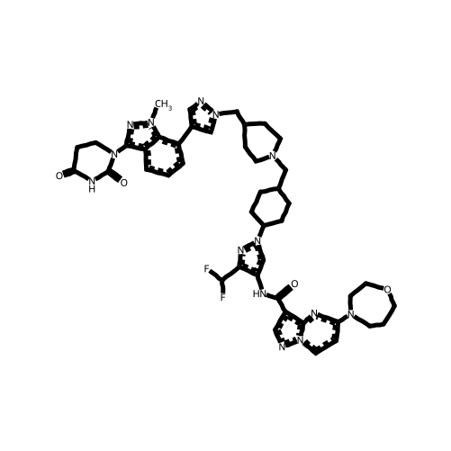 Cn1nc(N2CCC(=O)NC2=O)c2cccc(-c3cnn(CC4CCN(CC5CCC(n6cc(NC(=O)c7cnn8ccc(N9CCCOCC9)nc78)c(C(F)F)n6)CC5)CC4)c3)c21